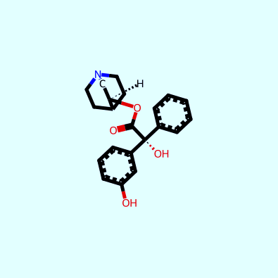 O=C(O[C@@H]1CN2CCC1CC2)[C@@](O)(c1ccccc1)c1cccc(O)c1